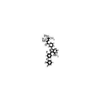 CCOC(C)(C)C=C(C#N)C(=O)N1CCC[C@H](n2nc(-c3ccc(Oc4cccc(F)c4F)cc3F)c3c(N)ncnc32)C1